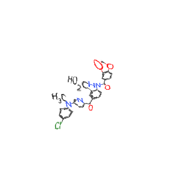 CN(c1ccc(Cl)cc1)c1ccc(C(=O)c2ccc(NC(=O)c3ccc4c(c3)OCO4)c(C(=O)O)c2)nc1